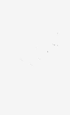 Cc1ccc(Nc2ncnc3c2ccn3[C@@H]2O[C@H](CO)[C@@H](O)[C@H]2O)cc1